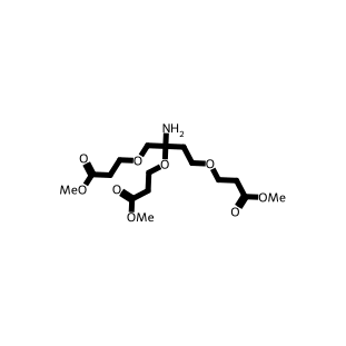 COC(=O)CCOCCC(N)(COCCC(=O)OC)OCCC(=O)OC